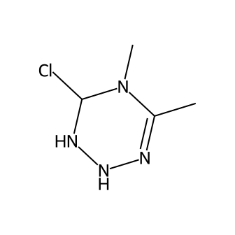 CC1=NNNC(Cl)N1C